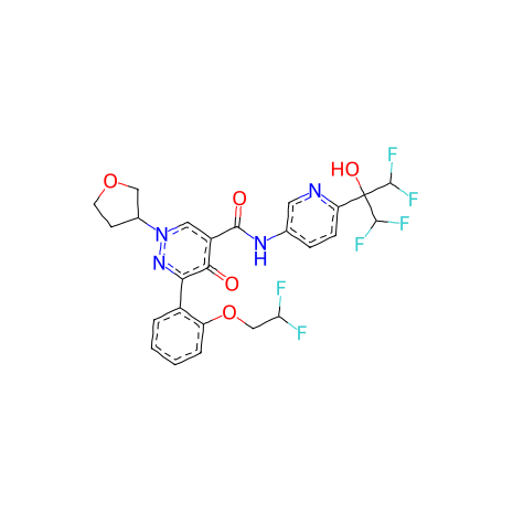 O=C(Nc1ccc(C(O)(C(F)F)C(F)F)nc1)c1cn(C2CCOC2)nc(-c2ccccc2OCC(F)F)c1=O